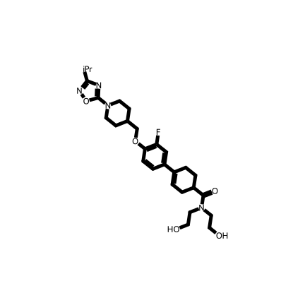 CC(C)c1noc(N2CCC(COc3ccc(C4=CCC(C(=O)N(CCO)CCO)CC4)cc3F)CC2)n1